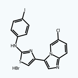 Br.Clc1ccc2ncc(-c3csc(Nc4ccc(I)cc4)n3)n2c1